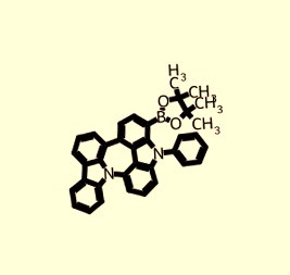 CC1(C)OB(c2ccc3c4cccc5c6ccccc6n(c6cccc7c6c3c2n7-c2ccccc2)c45)OC1(C)C